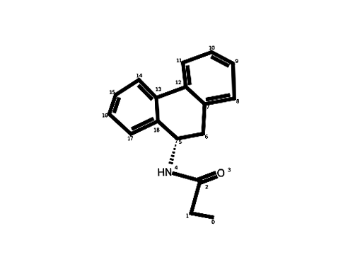 CCC(=O)N[C@H]1Cc2ccccc2-c2ccccc21